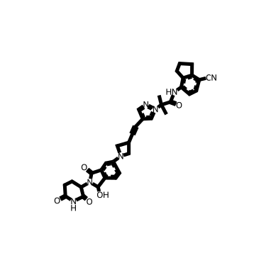 CC(C)(C(=O)Nc1ccc(C#N)c2c1CCC2)n1cc(C#CC2CN(c3ccc4c(c3)C(=O)N(C3CCC(=O)NC3=O)C4O)C2)cn1